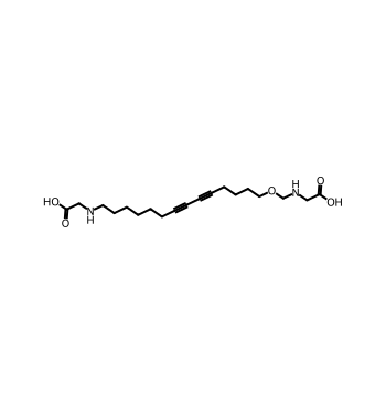 O=C(O)CNCCCCCCC#CC#CCCCCOCNCC(=O)O